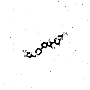 Cc1cn2cc(-c3[nH]c4ccc(C5CCN(Cc6c[nH]c(C)n6)CC5)cc4c3C(C)C)ccc2n1